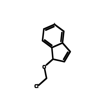 ClCOC1C=Cc2c[c]ccc21